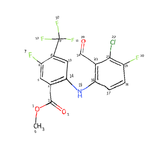 COC(=O)c1cc(F)c(C(F)(F)F)cc1Nc1ccc(F)c(Cl)c1C=O